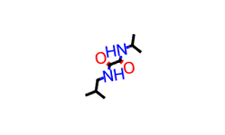 CC(C)CNC(=O)C(=O)NC(C)C